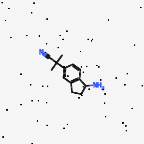 CC(C)(C#N)c1ccc2c(c1)CCC2N